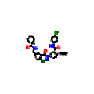 COc1ccc(NC(=O)c2cc(CNC(=O)C3(C)CCCCC3)ccc2Cl)cc1C(=O)Nc1ccc(Br)cc1